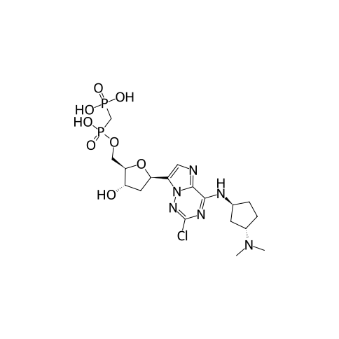 CN(C)[C@H]1CC[C@H](Nc2nc(Cl)nn3c([C@H]4C[C@H](O)[C@@H](COP(=O)(O)CP(=O)(O)O)O4)cnc23)C1